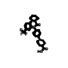 O=C(Nc1ccc(N2CCC(C(=O)O)CC2)cc1)c1ccccc1-c1ccc(C(F)(F)F)cc1